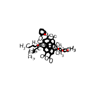 CCCCCC(C)(C)c1cc2c3c(cc(C(C)(C)CCCCC)c4c5c(C(C)(C)CCCCC)c(Oc6ccccc6)c6c7c(cc(C(C)(C)CCCCC)c(c1c34)c75)C(=O)OC6=O)C(=O)OC2=O